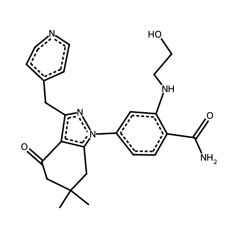 CC1(C)CC(=O)c2c(Cc3ccncc3)nn(-c3ccc(C(N)=O)c(NCCO)c3)c2C1